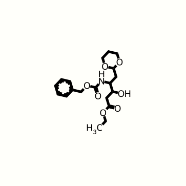 CCOC(=O)CC(O)C(CC1OCCCO1)NC(=O)OCc1ccccc1